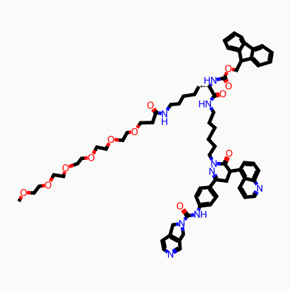 COCCOCCOCCOCCOCCOCCC(=O)NCCCCC[C@H](NC(=O)OCC1c2ccccc2-c2ccccc21)C(=O)NCCCCCCN1N=C(c2ccc(NC(=O)N3Cc4ccncc4C3)cc2)CC(c2cccc3ncccc23)C1=O